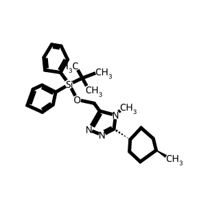 Cn1c(CO[Si](c2ccccc2)(c2ccccc2)C(C)(C)C)nnc1[C@H]1CC[C@H](C)CC1